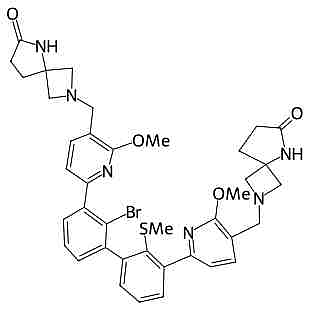 COc1nc(-c2cccc(-c3cccc(-c4ccc(CN5CC6(CCC(=O)N6)C5)c(OC)n4)c3SC)c2Br)ccc1CN1CC2(CCC(=O)N2)C1